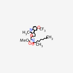 C=CCCCCC[C@H](C)C(=O)N1C[C@]2(CCc3c(c(C)nc4ccc(OC(F)(F)F)cc34)O2)C[C@H]1C(=O)OC